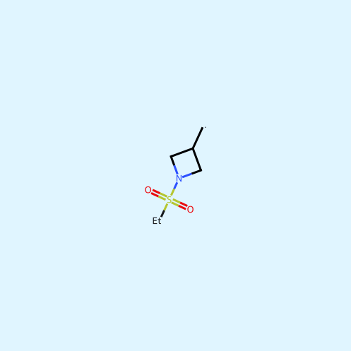 [CH2]C1CN(S(=O)(=O)CC)C1